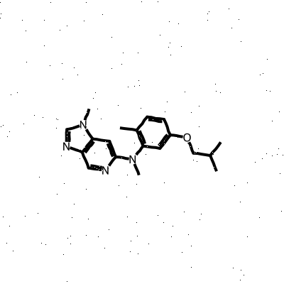 Cc1ccc(OCC(C)C)cc1N(C)c1cc2c(cn1)ncn2C